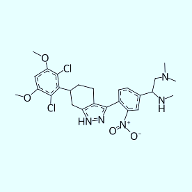 CNC(CN(C)C)c1ccc(-c2n[nH]c3c2CCC(c2c(Cl)c(OC)cc(OC)c2Cl)C3)c([N+](=O)[O-])c1